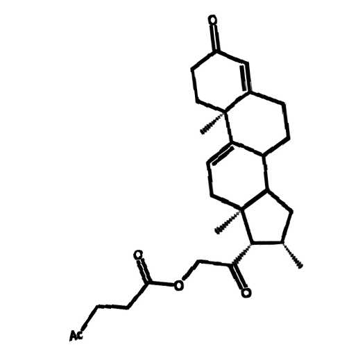 CC(=O)CCC(=O)OCC(=O)[C@H]1[C@@H](C)CC2C3CCC4=CC(=O)CC[C@]4(C)C3=CC[C@@]21C